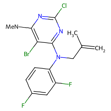 C=C(C)CN(c1ccc(F)cc1F)c1nc(Cl)nc(NC)c1Br